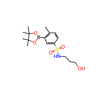 Cc1ccc(S(=O)(=O)NCCCO)cc1B1OC(C)(C)C(C)(C)O1